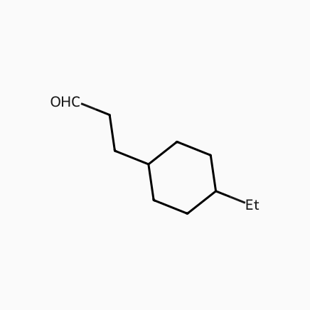 CCC1CCC(CCC=O)CC1